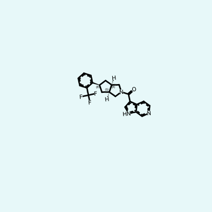 O=C(c1c[nH]c2cnccc12)N1C[C@H]2C[C@@H](c3ccccc3C(F)(F)F)C[C@H]2C1